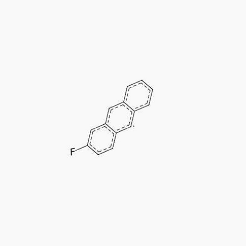 Fc1ccc2[c]c3ccccc3cc2c1